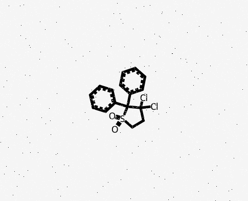 O=S1(=O)CCC(Cl)(Cl)C1(c1ccccc1)c1ccccc1